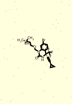 C[Si](C)(C)CCOCN1C(=O)N[C@](C#CC2CC2)(C(F)(F)F)c2ccc(Br)cc21